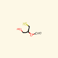 O=COC(CO)CS